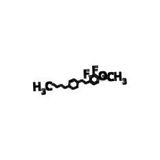 CCCCCC1C=CC(CCc2ccc(OCC)c(F)c2F)CC1